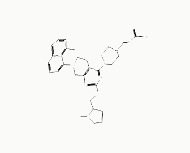 CN1CCCC1COc1nc2c(c(N3CCC(CNC(=O)O)CC3)n1)CCN(c1cccc3cccc(Cl)c13)C2